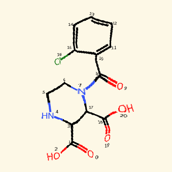 O=C(O)C1NCCN(C(=O)c2ccccc2Cl)C1C(=O)O